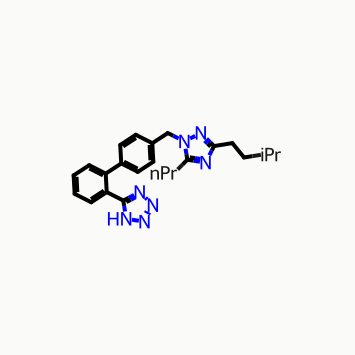 CCCc1nc(CCC(C)C)nn1Cc1ccc(-c2ccccc2-c2nnn[nH]2)cc1